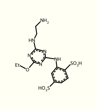 CCOc1nc(NCCN)nc(Nc2cc(S(=O)(=O)O)ccc2S(=O)(=O)O)n1